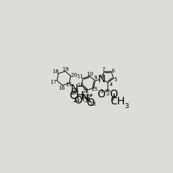 COC(=O)c1cccn1-c1ccc(N(C)C2CCCCC2)c([N+](=O)[O-])c1